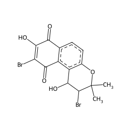 CC1(C)Oc2ccc3c(c2C(O)C1Br)C(=O)C(Br)=C(O)C3=O